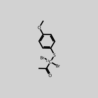 COc1ccc(S[13C](Br)(Br)C(C)=O)cc1